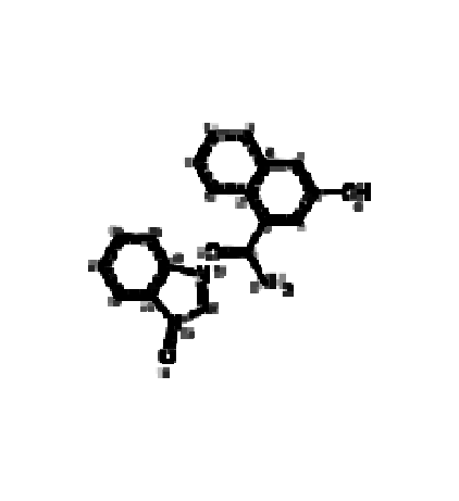 NC(=O)c1cc(O)cc2ccccc12.O=[N+]1C=Nc2ccccc21